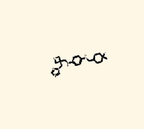 FC1(F)CCC(CNc2ccc(NCC3(Cn4cncn4)COC3)cc2)CC1